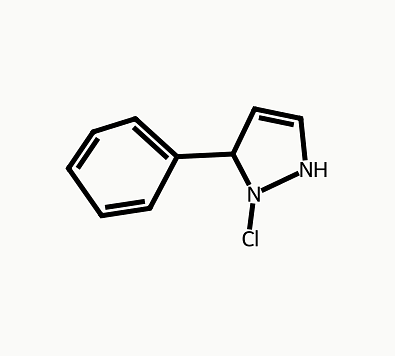 ClN1NC=CC1c1ccccc1